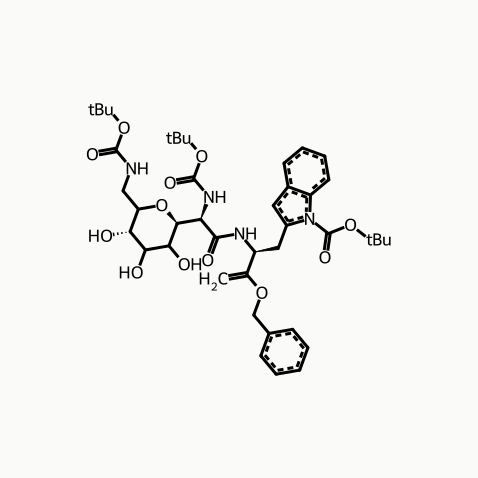 C=C(OCc1ccccc1)[C@H](Cc1cc2ccccc2n1C(=O)OC(C)(C)C)NC(=O)[C@H](NC(=O)OC(C)(C)C)[C@@H]1OC(CNC(=O)OC(C)(C)C)[C@@H](O)C(O)C1O